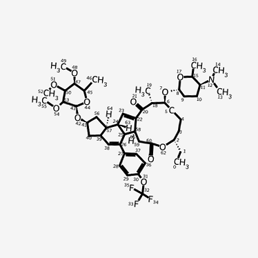 CC[C@H]1CCC[C@H](O[C@H]2CC[C@H](N(C)C)C(C)O2)[C@@H](C)C(=O)C2=C[C@@H]3C(C(c4ccc(OC(F)(F)F)cc4)=CC4C[C@@H](O[C@@H]5OC(C)[C@H](OC)C(OC)C5OC)C[C@H]43)[C@@H]2CC(=O)O1